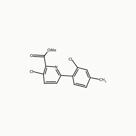 COC(=O)c1nc(-c2ccc(C)cc2Cl)ccc1Cl